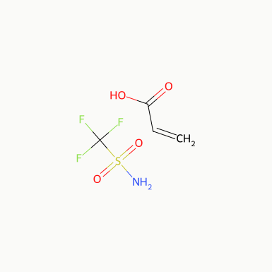 C=CC(=O)O.NS(=O)(=O)C(F)(F)F